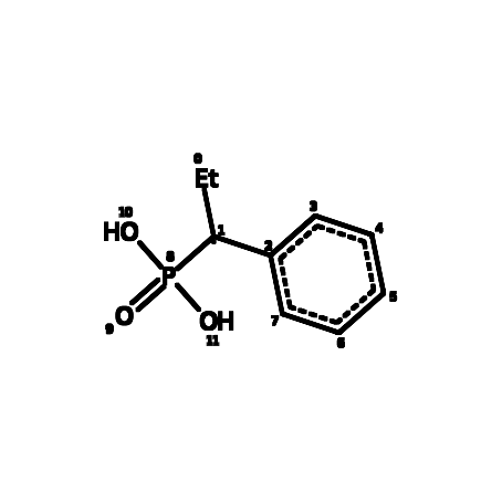 CC[C](c1ccccc1)P(=O)(O)O